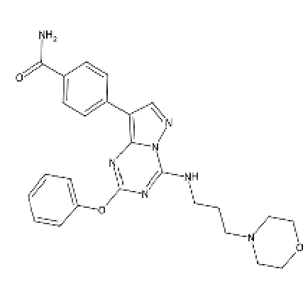 NC(=O)c1ccc(-c2cnn3c(NCCCN4CCOCC4)nc(Oc4ccccc4)nc23)cc1